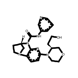 O=C(Nc1cccnc1)N1c2nc(N3CCOC[C@@H]3CCO)ccc2N2CC[C@H]1C2